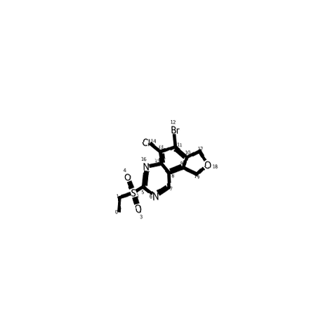 CCS(=O)(=O)c1ncc2c3c(c(Br)c(Cl)c2n1)COC3